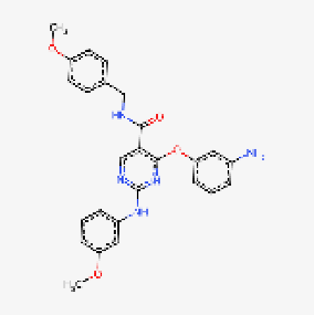 COc1ccc(CNC(=O)c2cnc(Nc3cccc(OC)c3)nc2Oc2cccc(N)c2)cc1